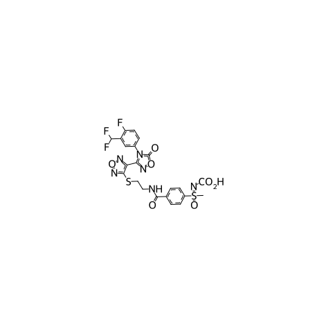 CS(=O)(=NC(=O)O)c1ccc(C(=O)NCCSc2nonc2-c2noc(=O)n2-c2ccc(F)c(C(F)F)c2)cc1